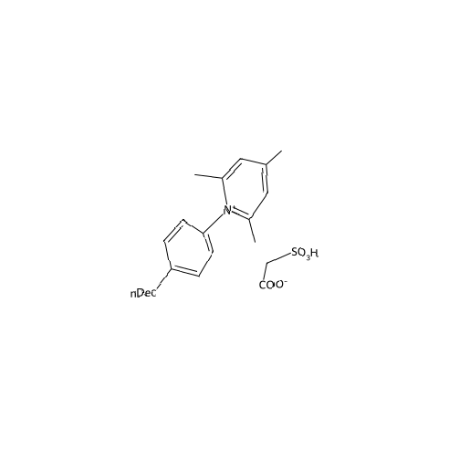 CCCCCCCCCCc1ccc(-[n+]2c(C)cc(C)cc2C)cc1.O=C([O-])CS(=O)(=O)O